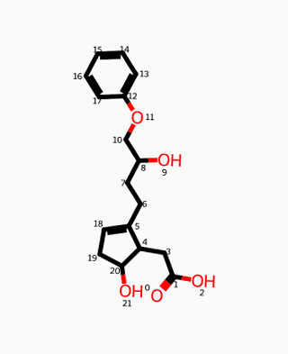 O=C(O)CC1C(CCC(O)COc2ccccc2)=CCC1O